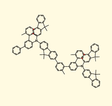 Cc1ccc(-c2ccc3c(c2)C(C)(C)c2cc(N(c4ccc5c(c4)C(C)(C)c4ccccc4-5)c4ccc(-c5ccccc5)cc4-c4c(C)cccc4C)ccc2-3)cc1-c1ccc(N(c2ccc3c(c2)C(C)(C)c2ccccc2-3)c2ccc3c(c2)C(C)(C)c2ccccc2-3)c(-c2ccccc2C)c1